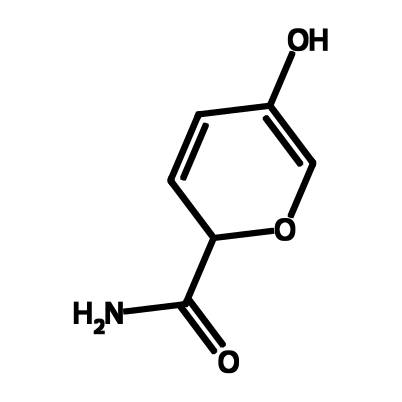 NC(=O)C1C=CC(O)=CO1